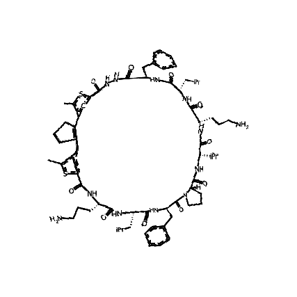 Cc1sc2cc1C1=C(CCC1)c1cc(sc1C)C(=O)N[C@@H](CCCN)C(=O)N[C@@H](CC(C)C)C(=O)N[C@H](Cc1ccccc1)C(=O)N1CCC[C@H]1C(=O)N[C@@H](C(C)C)C(=O)N[C@@H](CCCN)C(=O)N[C@@H](CC(C)C)C(=O)N[C@H](Cc1ccccc1)C(=O)NNC2=O